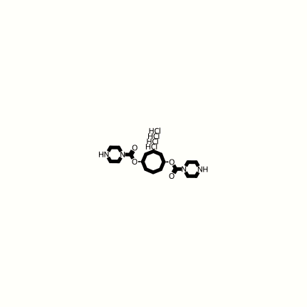 Cl.Cl.Cl.Cl.O=C(O[C@H]1CCC[C@@H](OC(=O)N2CCNCC2)CCC1)N1CCNCC1